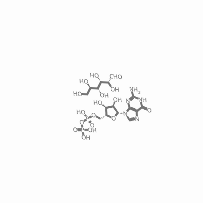 Nc1nc2c(ncn2[C@@H]2O[C@H](COP(=O)(O)OP(=O)(O)O)[C@@H](O)[C@H]2O)c(=O)[nH]1.O=C[C@H](O)[C@@H](O)[C@H](O)[C@H](O)CO